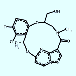 C[C@H]1Oc2ccn3ncc(c3n2)C(=O)N(C)CC(CO)Oc2ccc(F)c(Cl)c21